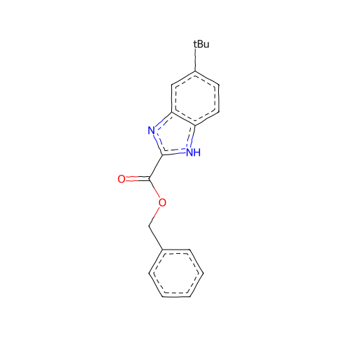 CC(C)(C)c1ccc2[nH]c(C(=O)OCc3ccccc3)nc2c1